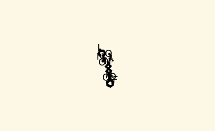 C[C@@H]1COc2cc(I)cnc2C(=O)N1C1CC2(C1)CN(S(=O)(=O)c1ccccc1F)C2